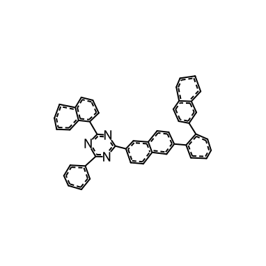 c1ccc(-c2nc(-c3ccc4cc(-c5ccccc5-c5ccc6ccccc6c5)ccc4c3)nc(-c3cccc4ccccc34)n2)cc1